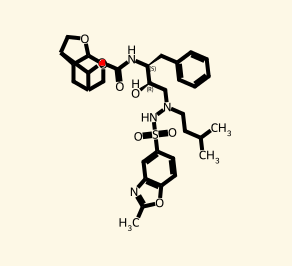 Cc1nc2cc(S(=O)(=O)NN(CCC(C)C)C[C@@H](O)[C@H](Cc3ccccc3)NC(=O)OC3C4COC5OCC3C5C4)ccc2o1